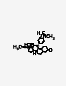 CC#C[C@]1(O)CCC2[C@@H]3CCC4=CC(=O)CCC4=C3[C@@H](c3ccc(N(C)C)cc3)C[C@@]21C